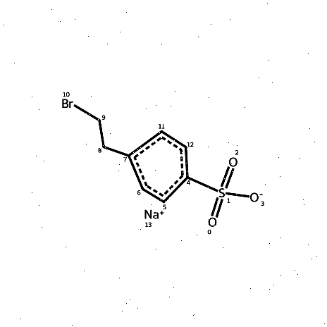 O=S(=O)([O-])c1ccc(CCBr)cc1.[Na+]